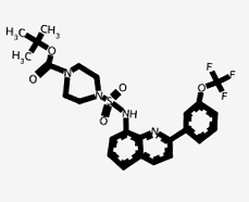 CC(C)(C)OC(=O)N1CCN(S(=O)(=O)Nc2cccc3ccc(-c4cccc(OC(F)(F)F)c4)nc23)CC1